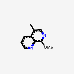 COc1ncc(C)c2cccnc12